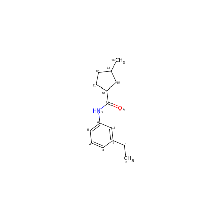 CCc1cccc(NC(=O)C2CCC(C)C2)c1